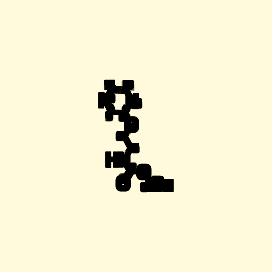 CC(C)(C)OC(=O)NCCOc1cnccn1